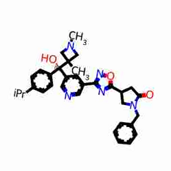 CC(C)c1ccc([C@](O)(c2cncc(-c3noc(C4CC(=O)N(Cc5ccccc5)C4)n3)c2)C2(C)CN(C)C2)cc1